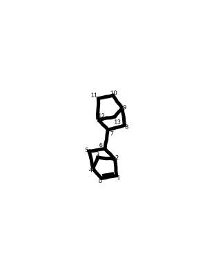 C1=CC2CC1CC2C1CC2CCC1C2